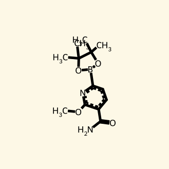 COc1nc(B2OC(C)(C)C(C)(C)O2)ccc1C(N)=O